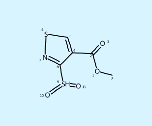 COC(=O)c1csnc1[SH](=O)=O